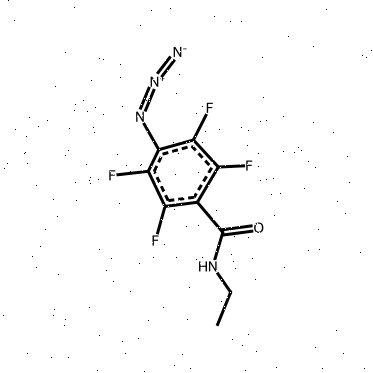 CCNC(=O)c1c(F)c(F)c(N=[N+]=[N-])c(F)c1F